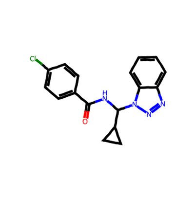 O=C(NC(C1CC1)n1nnc2ccccc21)c1ccc(Cl)cc1